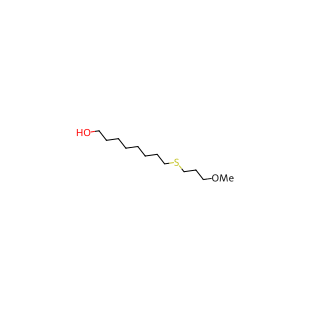 COCCCSCCCCCCCCO